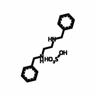 O=S(=O)(O)O.c1ccc(CNCCNCc2ccccc2)cc1